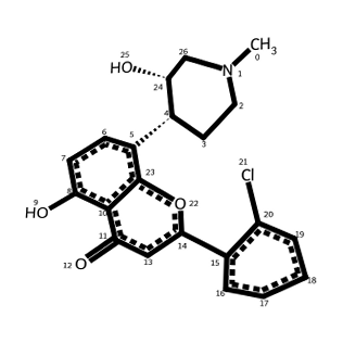 CN1CC[C@H](c2[c]cc(O)c3c(=O)cc(-c4ccccc4Cl)oc23)[C@H](O)C1